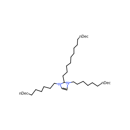 CCCCCCCCCCCCCCCCCCCC1N(CCCCCCCCCCCCCCCC)C=CN1CCCCCCCCCCCCCCCC